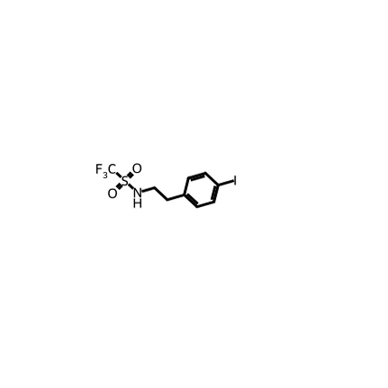 O=S(=O)(NCCc1ccc(I)cc1)C(F)(F)F